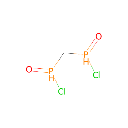 O=[PH](Cl)C[PH](=O)Cl